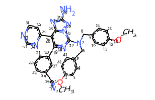 COc1ccc(CN(Cc2ccc(OC)cc2)c2nc(-c3cccc(C#N)c3)c(-c3ccncn3)c3nc(N)nn23)cc1